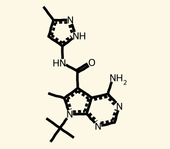 Cc1cc(NC(=O)c2c(C)n(C(C)(C)C)c3ncnc(N)c23)[nH]n1